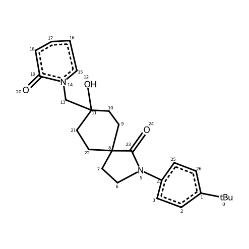 CC(C)(C)c1ccc(N2CCC3(CCC(O)(Cn4ccccc4=O)CC3)C2=O)cc1